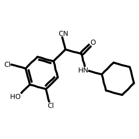 N#CC(C(=O)NC1CCCCC1)c1cc(Cl)c(O)c(Cl)c1